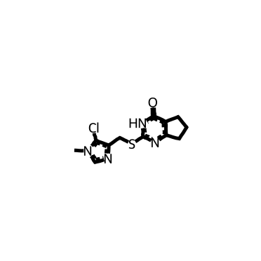 Cn1cnc(CSc2nc3c(c(=O)[nH]2)CCC3)c1Cl